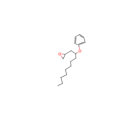 CCCCCCCCC(CC1CO1)Oc1ccccc1